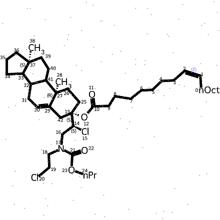 CCCCCCCC/C=C\CCCCCCCC(=O)O[C@@]1([C@@H](Cl)CN(CCCl)C(=O)OCCC)CC[C@@]2(C)C(=CCC3C4CCC[C@@]4(C)CCC32)C1